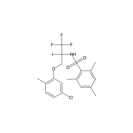 Cc1cc(C)c(S(=O)(=O)NC(I)(COc2cc(Cl)ccc2C)C(F)(F)F)c(C)c1